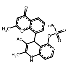 CCCS(=O)(=O)Oc1nccc2c1C(c1cccc3c(=O)cc(C)oc13)C(C(C)=O)=C(C)N2